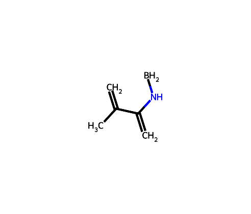 BNC(=C)C(=C)C